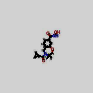 CC1(C)COc2cc(C(=O)NO)ccc2CN1C(=O)C1CC1